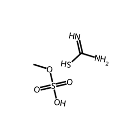 COS(=O)(=O)O.N=C(N)S